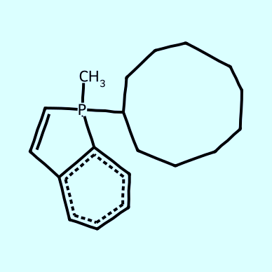 C[P]1(C2CCCCCCCCC2)C=Cc2ccccc21